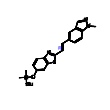 Cn1ncc2cc(/C=C/c3nc4ccc(O[Si](C)(C)C(C)(C)C)cc4s3)ccc21